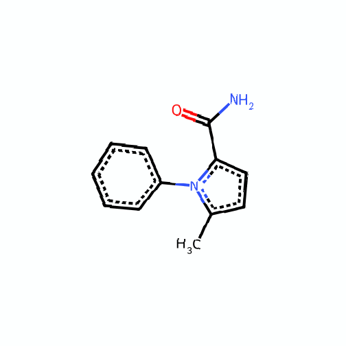 Cc1ccc(C(N)=O)n1-c1ccccc1